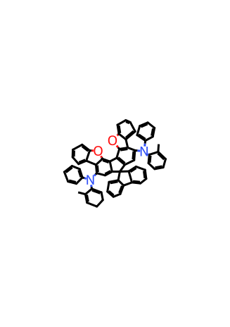 CC1=CCCC=C1N(c1ccccc1)c1cc2c(c3oc4ccccc4c13)-c1c(cc(N(c3ccccc3)c3ccccc3C)c3c1oc1ccccc13)C21c2ccccc2-c2ccccc21